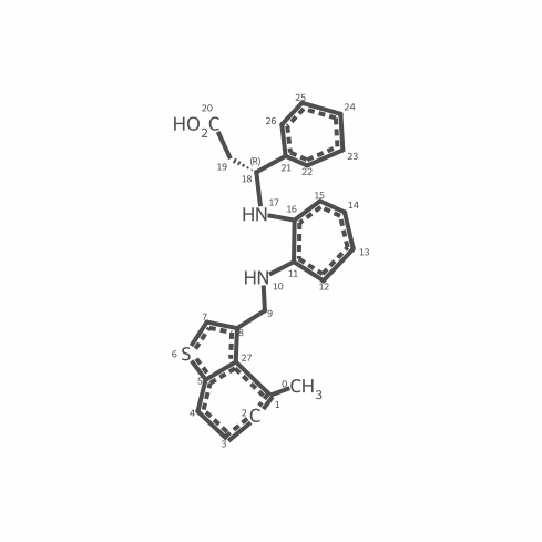 Cc1cccc2scc(CNc3ccccc3N[C@H](CC(=O)O)c3ccccc3)c12